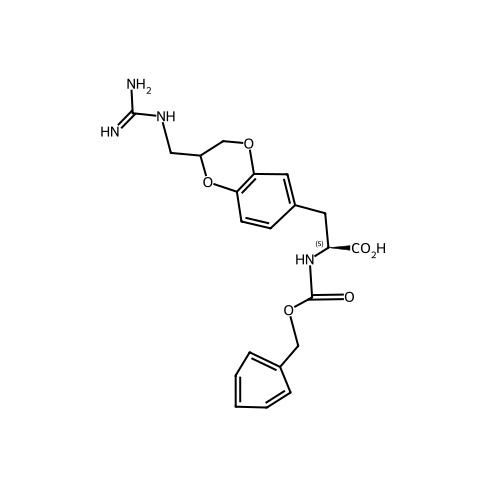 N=C(N)NCC1COc2cc(C[C@H](NC(=O)OCc3ccccc3)C(=O)O)ccc2O1